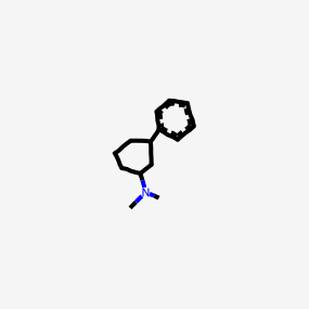 CN(C)C1CCCC(c2ccccc2)C1